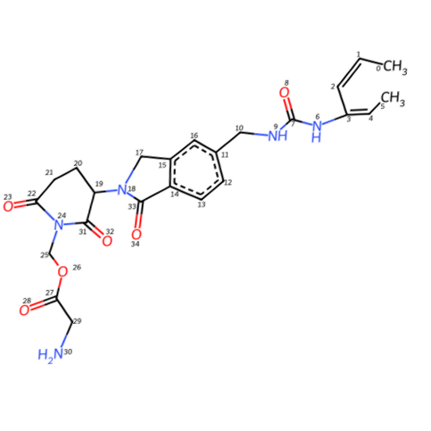 C/C=C\C(=C/C)NC(=O)NCc1ccc2c(c1)CN(C1CCC(=O)N(COC(=O)CN)C1=O)C2=O